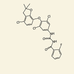 CC1(C)Cc2c(Cl)ccc(Oc3c(Cl)cc(NC(=O)NC(=O)c4ccccc4F)cc3Cl)c2O1